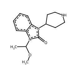 COC(C)n1c(=O)n(C2CCNCC2)c2ccccc21